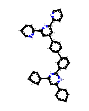 c1ccc(-c2cc(-c3ccccc3)nc(-c3cccc(-c4ccc(-c5cc(-c6ccccn6)nc(-c6ccccn6)c5)cc4)c3)n2)cc1